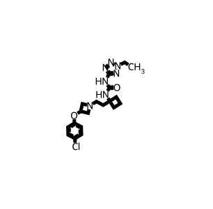 CCn1nnc(NC(=O)NC2(CCN3CC(Oc4ccc(Cl)cc4)C3)CCC2)n1